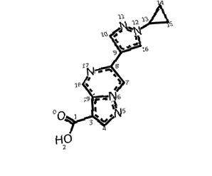 O=C(O)c1cnn2cc(-c3cnn(C4CC4)c3)ncc12